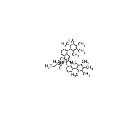 CCC[SiH]=[Hf]([CH3])([CH3])([CH]1C=Cc2c(-c3c(C)c(C)c(C)c(C)c3C)cccc21)[CH]1C=Cc2c(-c3c(C)c(C)c(C)c(C)c3C)cccc21